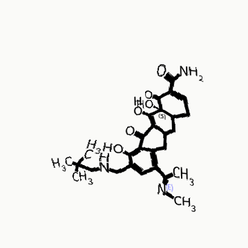 C/N=C(\C)c1cc(CNCC(C)(C)C)c(O)c2c1CC1CC3CC=C(C(N)=O)C(=O)[C@@]3(O)C(O)=C1C2=O